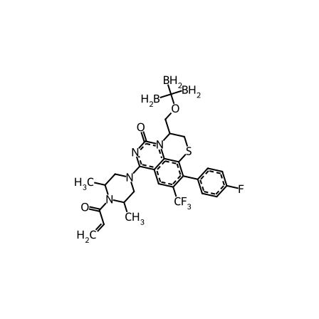 BC(B)(B)OCC1CSc2c(-c3ccc(F)cc3)c(C(F)(F)F)cc3c(N4CC(C)N(C(=O)C=C)C(C)C4)nc(=O)n1c23